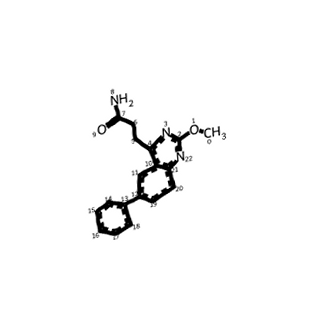 COc1nc(CCC(N)=O)c2cc(-c3ccccc3)ccc2n1